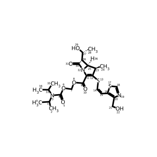 CC(C)N(C(=O)OCOC(=O)C1=C(S/C=C\c2scnc2CO)[C@H](C)[C@@H]2[C@@H]([C@@H](C)O)C(=O)N12)C(C)C